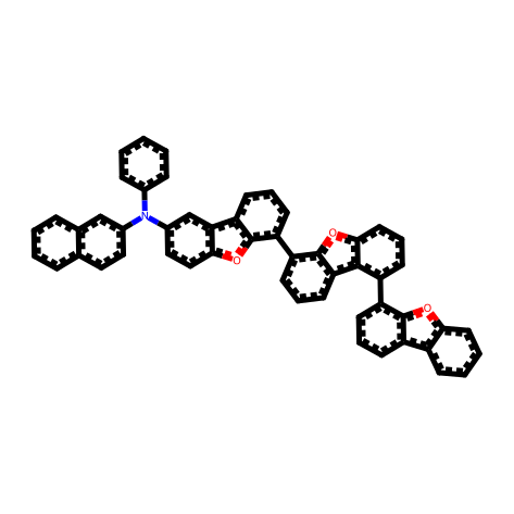 c1ccc(N(c2ccc3ccccc3c2)c2ccc3oc4c(-c5cccc6c5oc5cccc(-c7cccc8c7oc7ccccc78)c56)cccc4c3c2)cc1